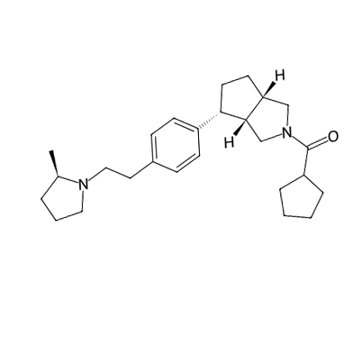 C[C@@H]1CCCN1CCc1ccc([C@@H]2CC[C@@H]3CN(C(=O)C4CCCC4)C[C@@H]32)cc1